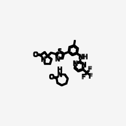 Cc1cc(Nc2nccc(C(F)(F)F)n2)cc(-c2cnc(CC34CCCN3C(=O)C4)s2)c1.O=C1CCCCCN1